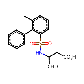 Cc1cccc(S(=O)(=O)NC(C=O)CC(=O)O)c1-c1ccccc1